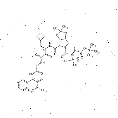 CN(C)C(=O)[C@@H](NC(=O)CNC(=O)C(=O)[C@@H](CC1CCC1)NC(=O)C1C2OC(C)(C)OC2CN1C(=O)[C@@H](NC(=O)OC(C)(C)C)C(C)(C)C)c1ccccc1